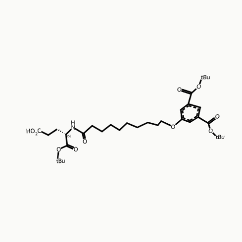 CC(C)(C)OC(=O)c1cc(OCCCCCCCCCC(=O)N[C@@H](CCC(=O)O)C(=O)OC(C)(C)C)cc(C(=O)OC(C)(C)C)c1